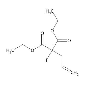 C=CCC(I)(C(=O)OCC)C(=O)OCC